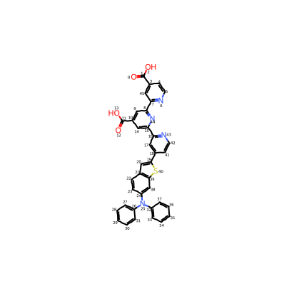 O=C(O)c1ccnc(-c2cc(C(=O)O)cc(-c3cc(-c4cc5ccc(N(c6ccccc6)c6ccccc6)cc5s4)ccn3)n2)c1